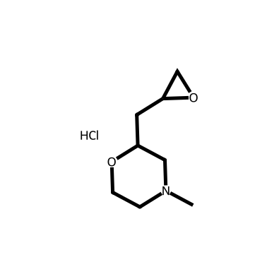 CN1CCOC(CC2CO2)C1.Cl